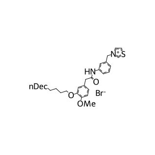 CCCCCCCCCCCCCCOc1cc(CC(=O)Nc2cccc(C[n+]3ccsc3)c2)ccc1OC.[Br-]